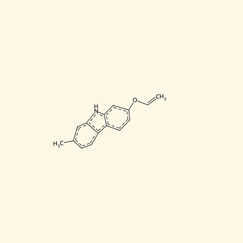 C=COc1ccc2c(c1)[nH]c1cc(C)ccc12